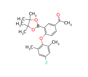 CC(=O)c1ccc(Oc2c(C)cc(F)cc2C)c(B2OC(C)(C)C(C)(C)O2)c1